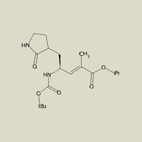 CC(=C[C@H](CC1CCNC1=O)NC(=O)OC(C)(C)C)C(=O)OC(C)C